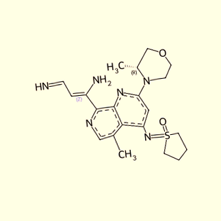 Cc1cnc(/C(N)=C/C=N)c2nc(N3CCOC[C@H]3C)cc(N=S3(=O)CCCC3)c12